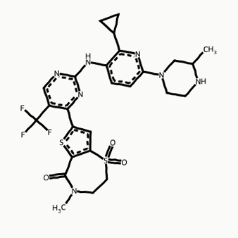 CC1CN(c2ccc(Nc3ncc(C(F)(F)F)c(-c4cc5c(s4)C(=O)N(C)CCS5(=O)=O)n3)c(C3CC3)n2)CCN1